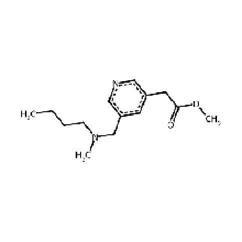 CCCCN(C)Cc1cncc(CC(=O)OC)c1